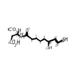 O=C(O)CC(NC(=O)CCCCC(S)CCS)C(=O)O